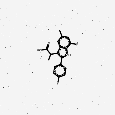 Cc1cc(F)c2[nH]c(-c3ccc(F)cc3)c(C(C)C(=O)O)c2c1